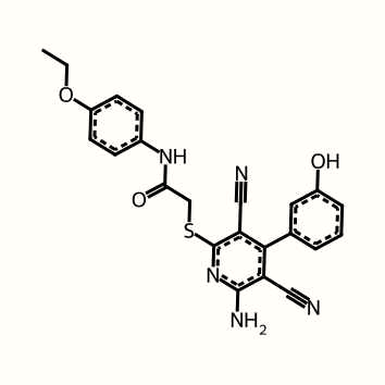 CCOc1ccc(NC(=O)CSc2nc(N)c(C#N)c(-c3cccc(O)c3)c2C#N)cc1